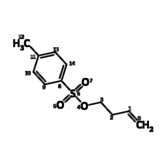 C=CCCOS(=O)(=O)c1ccc(C)cc1